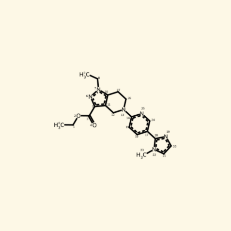 CCOC(=O)c1nn(CC)c2c1CN(c1ccc(-c3nccn3C)cn1)CC2